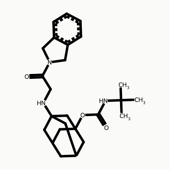 CC(C)(C)NC(=O)OC12CC3CC(CC(NCC(=O)N4Cc5ccccc5C4)(C3)C1)C2